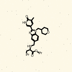 Cc1cc(-c2nc3cc(CNC(CC(C)C)C(=O)OC(C)C)ccc3n2CC2CCOCC2)c[nH]c1=O